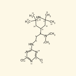 CN(C)C(CCNc1nc(Cl)nc(Cl)n1)C1CC(C)(C)NC(C)(C)C1